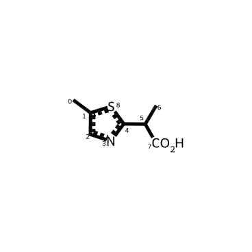 Cc1cnc(C(C)C(=O)O)s1